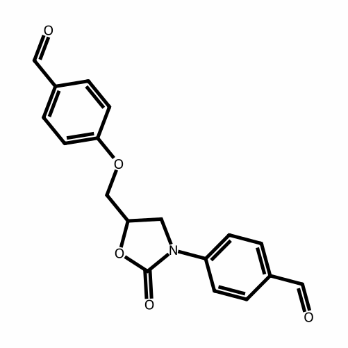 O=Cc1ccc(OCC2CN(c3ccc(C=O)cc3)C(=O)O2)cc1